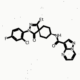 CCC1=NN(c2ccc(F)cc2Cl)C(=O)[C@]12CC[C@H](NC(=O)c1cnn3cccnc13)CC2